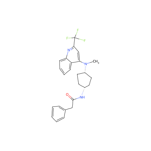 CN(c1cc(C(F)(F)F)nc2ccccc12)[C@H]1CC[C@@H](NC(=O)Cc2ccccc2)CC1